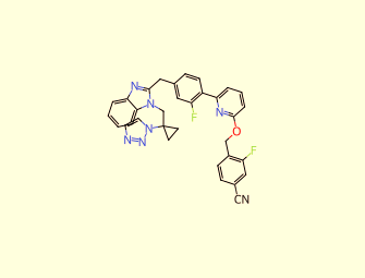 N#Cc1ccc(COc2cccc(-c3ccc(Cc4nc5ccccc5n4CC4(n5ccnn5)CC4)cc3F)n2)c(F)c1